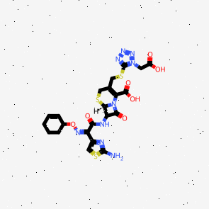 Nc1nc(/C(=N/OC2C=CCCC2)C(=O)NC2C(=O)N3C(C(=O)O)=C(CSc4nnnn4CC(=O)O)CS[C@H]23)cs1